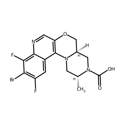 C[C@@H]1CN2c3c(cnc4c(F)c(Br)c(F)cc34)OC[C@H]2CN1C(=O)O